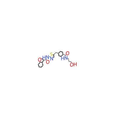 O=C(NCCCO)c1ccc(Cc2cnc(NC(=O)c3coc4ccccc34)s2)cc1